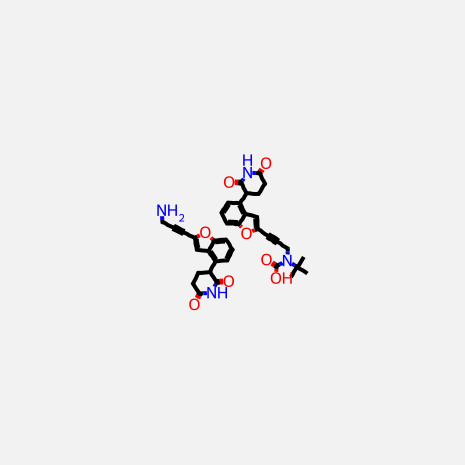 CC(C)(C)N(CC#Cc1cc2c(C3CCC(=O)NC3=O)cccc2o1)C(=O)O.NCC#Cc1cc2c(C3CCC(=O)NC3=O)cccc2o1